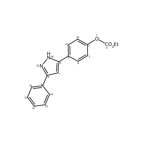 CCOC(=O)Oc1ccc(-c2cc(-c3ccccc3)n[nH]2)cc1